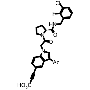 CC(=O)c1cn(CC(=O)N2CCC[C@H]2C(=O)NCc2cccc(Cl)c2F)c2ccc(C#CC(=O)O)cc12